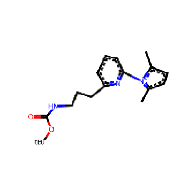 Cc1ccc(C)n1-c1cccc(CCCNC(=O)OC(C)(C)C)n1